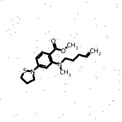 C=CCCCN(C)c1cc(N2CCCS2)ccc1C(=O)OC